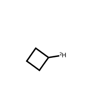 [2H]C1CCC1